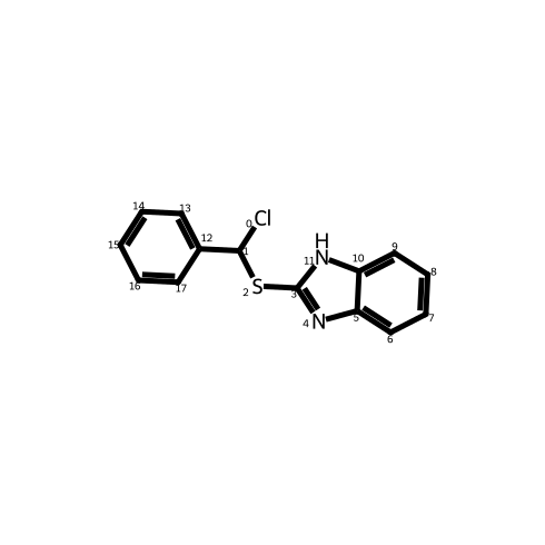 ClC(Sc1nc2ccccc2[nH]1)c1ccccc1